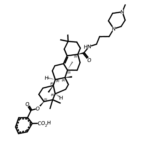 CN1CCN(CCCNC(=O)[C@]23CCC(C)(C)CC2=C2CC[C@@H]4[C@@]5(C)CC[C@H](OC(=O)c6ccccc6C(=O)O)C(C)(C)[C@@H]5CC[C@@]4(C)[C@]2(C)CC3)CC1